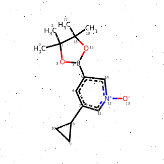 CC1(C)OB(c2cc(C3CC3)c[n+]([O-])c2)OC1(C)C